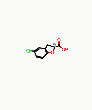 O=C(O)[C@@H]1Cc2cc(Cl)ccc2O1